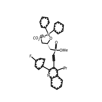 COP(=O)(C#Cc1c(-c2ccc(F)cc2)nc2ccccc2c1C(C)C)C[C@H](CC(=O)O)O[Si](c1ccccc1)(c1ccccc1)C(C)(C)C